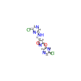 Clc1cncc(NCc2cc(Oc3cncc(Cl)n3)no2)n1